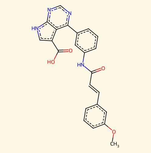 COc1cccc(/C=C/C(=O)Nc2cccc(-c3ncnc4[nH]cc(C(=O)O)c34)c2)c1